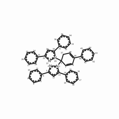 C1=CC(n2nc(-c3ccccc3)cc2-c2ccccc2)(n2nc(-c3ccccc3)cc2-c2ccccc2)CC=C1c1ccccc1